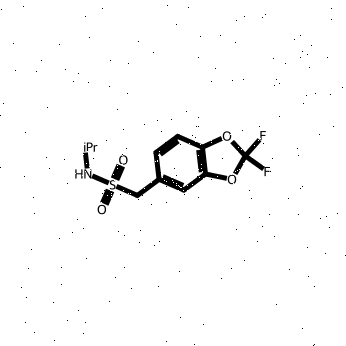 CC(C)NS(=O)(=O)Cc1ccc2c(c1)OC(F)(F)O2